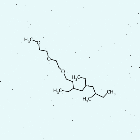 CCC(C)CC(CC)CC(CC)CCOCCOCCOC